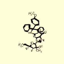 CC[C@@]1(F)O[C@@H](n2cnc3c(=O)[nH]c(NC(c4ccccc4)(c4ccccc4)c4ccc(OC)cc4)nc32)[C@](C)(O)[C@@H]1F